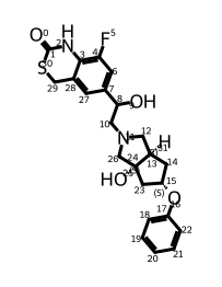 O=C1Nc2c(F)cc(C(O)CN3C[C@H]4C[C@H](Oc5ccccc5)C[C@@]4(O)C3)cc2CS1